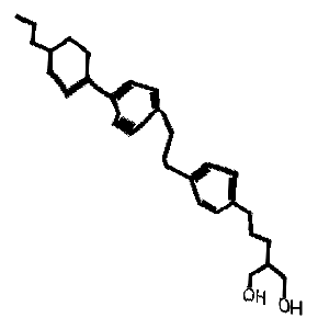 CCCC1CCC(c2ccc(CCc3ccc(CCCC(CO)CO)cc3)cc2)CC1